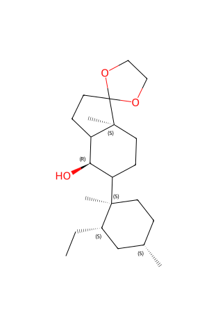 CC[C@H]1C[C@@H](C)CC[C@]1(C)C1CC[C@@]2(C)C(CCC23OCCO3)[C@@H]1O